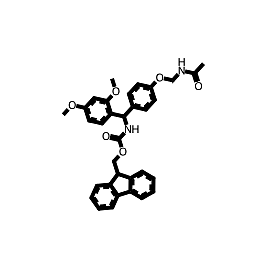 COc1ccc(C(NC(=O)OCC2c3ccccc3-c3ccccc32)c2ccc(O[CH]NC(C)=O)cc2)c(OC)c1